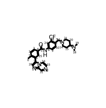 Cc1ccc(C(=O)Nc2ccc(CN3CCC(N(C)C)CC3)c(C(F)(F)F)c2)cc1-c1cnc2cnccn12